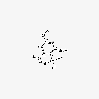 COc1cc([SeH])c(C(F)(F)F)c(OC)c1